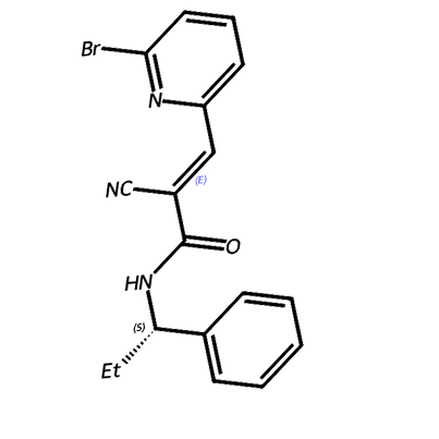 CC[C@H](NC(=O)/C(C#N)=C/c1cccc(Br)n1)c1ccccc1